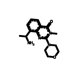 CC(N)c1cccc2c(=O)n(C)c(N3CCOCC3)nc12